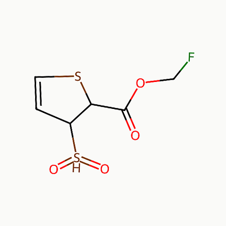 O=C(OCF)C1SC=CC1[SH](=O)=O